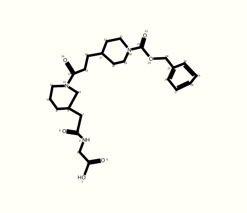 O=C(O)CNC(=O)CC1CCCN(C(=O)CCC2CCN(C(=O)OCc3ccccc3)CC2)C1